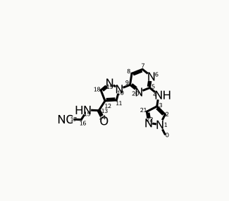 Cn1cc(Nc2nccc(-n3cc(C(=O)NCC#N)cn3)n2)cn1